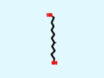 OCCCC[CH]CCCCCCO